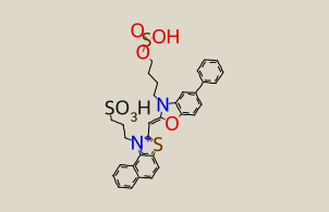 O=S(O)OCCCCN1C(=Cc2sc3ccc4ccccc4c3[n+]2CCCS(=O)(=O)O)Oc2ccc(-c3ccccc3)cc21